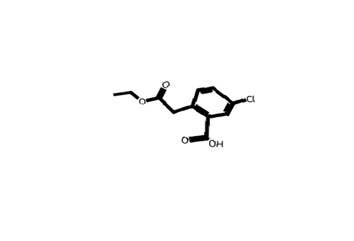 CCOC(=O)Cc1ccc(Cl)cc1C(=O)O